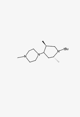 C[C@@H]1CC(N2CCN(C)CC2)[C@@H](C)CN1C(C)(C)C